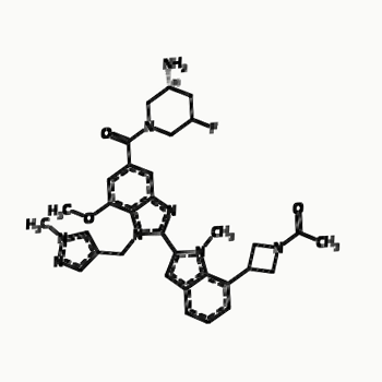 COc1cc(C(=O)N2CC(F)C[C@@H](N)C2)cc2nc(-c3cc4cccc(C5CN(C(C)=O)C5)c4n3C)n(Cc3cnn(C)c3)c12